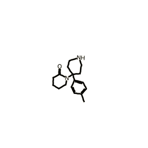 Cc1ccc(C2(N3CCCCC3=O)CCNCC2)cc1